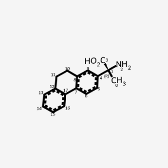 C[C@](N)(C(=O)O)c1ccc2c(c1)CCc1ccccc1-2